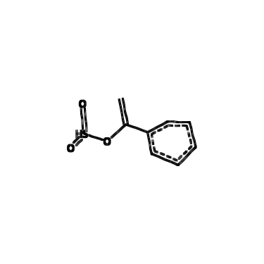 C=C(O[SH](=O)=O)c1ccccc1